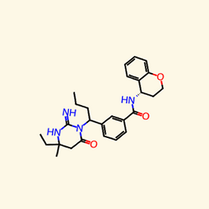 CCCC(c1cccc(C(=O)N[C@H]2CCOc3ccccc32)c1)N1C(=N)NC(C)(CC)CC1=O